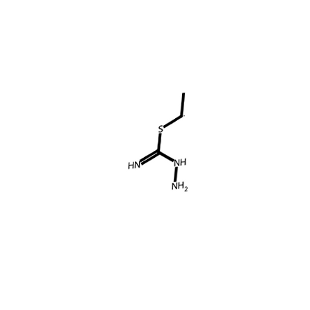 C[CH]SC(=N)NN